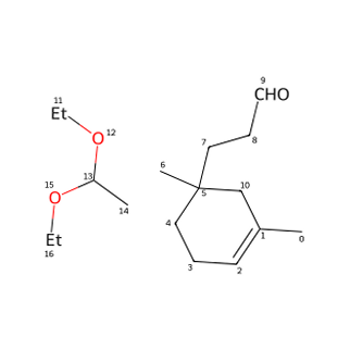 CC1=CCCC(C)(CCC=O)C1.CCOC(C)OCC